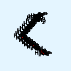 CC(=O)[O-].CC(=O)[O-].CC(=O)[O-].CC(=O)[O-].CC(=O)[O-].CC(=O)[O-].CC(=O)[O-].CC(=O)[O-].CC(=O)[O-].CC(=O)[O-].CC(=O)[O-].CC(=O)[O-].N.N.N.NCCN.NCCN.NCCN.O.O.[Fe+3].[Fe+3].[Fe+3].[Fe+3]